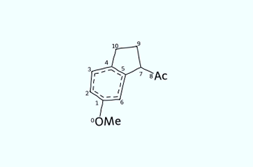 COc1ccc2c(c1)C(C(C)=O)CC2